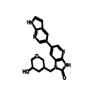 O=c1[nH]c2ncc(-c3cnc4[nH]ccc4c3)cc2n1CC1COCC(O)C1